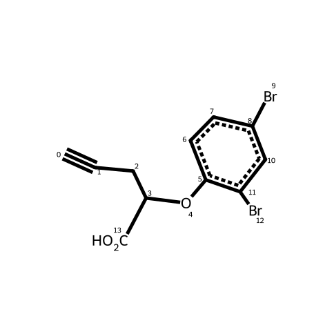 C#CCC(Oc1ccc(Br)cc1Br)C(=O)O